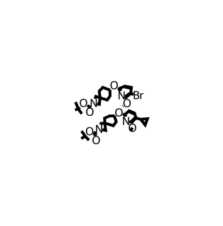 COc1nc(OC2CCC3(CC2)CN(C(=O)OC(C)(C)C)C3)ccc1Br.COc1nc(OC2CCC3(CC2)CN(C(=O)OC(C)(C)C)C3)ccc1C1CC1